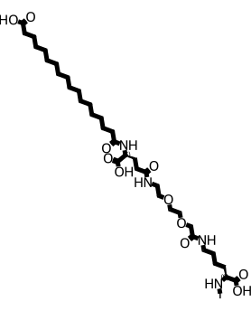 O=C(O)CCCCCCCCCCCCCCCCC(=O)N[C@@H](CCC(=O)NCCOCCOCC(=O)NCCCC[C@H](NI)C(=O)O)C(=O)O